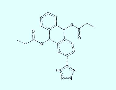 CCC(=O)OC1c2ccccc2C(OC(=O)CC)c2cc(-c3nnn[nH]3)ccc21